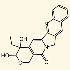 CCC1(O)c2cc3n(c(=O)c2COC1O)Cc1cc2ccccc2nc1-3